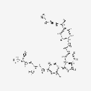 Cc1cc(OC[C@H](O)COC(=O)C(F)(F)F)ccc1-c1csc2ccc(COc3ccc([C@H](C)C#CCC#N)cc3)cc12